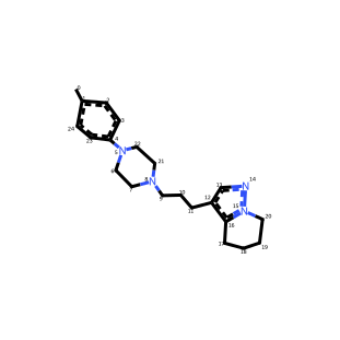 Cc1ccc(N2CCN(CCCc3cnn4c3CCCC4)CC2)cc1